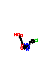 COc1cc2ncnc(NCCc3ccc(Cl)cc3)c2cc1OCCCCCCC(=O)O